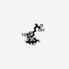 C=C(CCCCC([Si](CC(C)C)(CC(C)C)C(C)(C)C)S(=O)(=O)O)C(=O)O